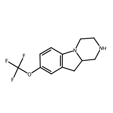 FC(F)(F)Oc1ccc2c(c1)CC1CNCCN21